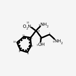 NCC(O)C(N)(c1ccccc1)[N+](=O)[O-]